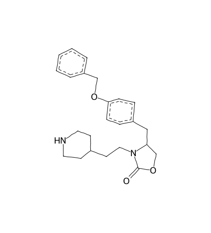 O=C1OCC(Cc2ccc(OCc3ccccc3)cc2)N1CCC1CCNCC1